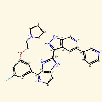 Fc1cc(OCCN2CCCC2)cc(-c2nccc3[nH]c(-c4n[nH]c5cnc(-c6cccnc6)cc45)nc23)c1